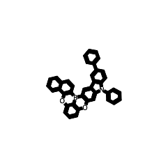 c1ccc(-c2ccc3c(c2)c2cc4c(cc2n3-c2ccccc2)Oc2cccc3c2B4c2ccc4ccccc4c2O3)cc1